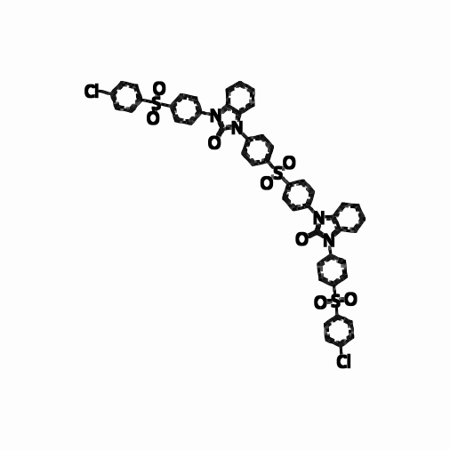 O=c1n(-c2ccc(S(=O)(=O)c3ccc(Cl)cc3)cc2)c2ccccc2n1-c1ccc(S(=O)(=O)c2ccc(-n3c(=O)n(-c4ccc(S(=O)(=O)c5ccc(Cl)cc5)cc4)c4ccccc43)cc2)cc1